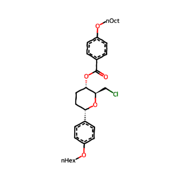 CCCCCCCCOc1ccc(C(=O)O[C@H]2CC[C@@H](c3ccc(OCCCCCC)cc3)O[C@@H]2CCl)cc1